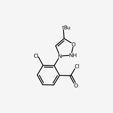 CC(C)(C)C1=CN(c2c(Cl)cccc2C(=O)Cl)NO1